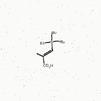 CCC(C)[Si](C=C(C)C(=O)O)(CC)C(C)CC